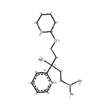 CC(C)N(CCC(C#N)(CCOC1CCCCO1)c1ccccn1)C(C)C